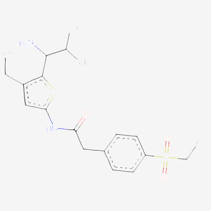 CCc1cc(NC(=O)Cc2ccc(S(=O)(=O)CC)cc2)sc1C(N)C(C)C